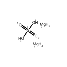 O=S(=O)(O)O.[MgH2].[MgH2]